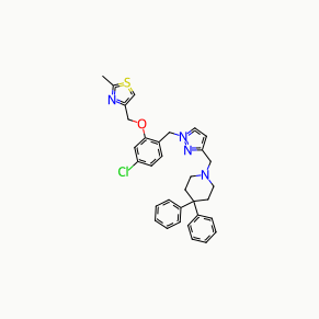 Cc1nc(COc2cc(Cl)ccc2Cn2ccc(CN3CCC(c4ccccc4)(c4ccccc4)CC3)n2)cs1